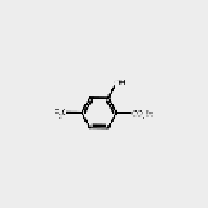 CCOC(=O)c1ccc(C(F)(F)F)cc1O